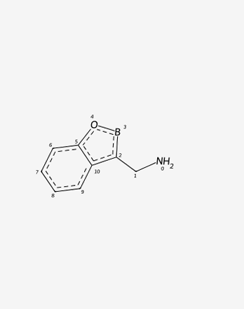 NCc1boc2ccccc12